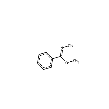 CO/C(=N\O)c1ccccc1